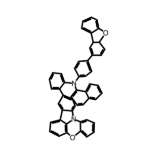 C1=CC2Oc3ccccc3C2C=C1c1ccc(N(c2ccccc2-c2ccc3c(c2)c2cccc4c2n3-c2ccccc2O4)c2cccc3ccccc23)cc1